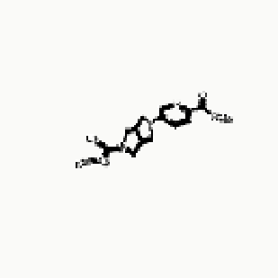 CNC(=O)c1ccc(N2CC3CN(C(=O)OC(C)(C)C)CC3C2)cn1